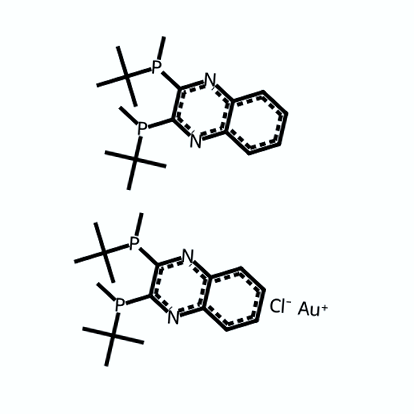 CP(c1nc2ccccc2nc1P(C)C(C)(C)C)C(C)(C)C.CP(c1nc2ccccc2nc1P(C)C(C)(C)C)C(C)(C)C.[Au+].[Cl-]